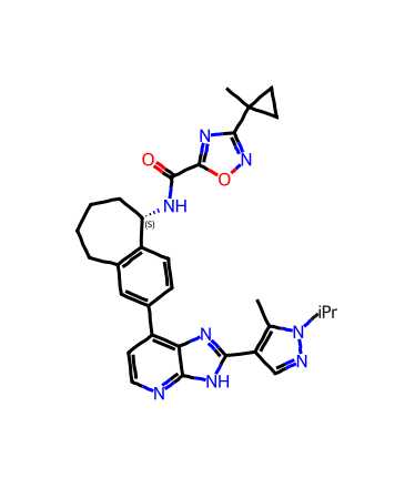 Cc1c(-c2nc3c(-c4ccc5c(c4)CCCC[C@@H]5NC(=O)c4nc(C5(C)CC5)no4)ccnc3[nH]2)cnn1C(C)C